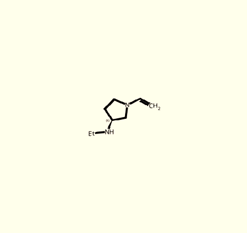 C=CN1CC[C@H](NCC)C1